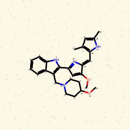 COC1=CC(c2[nH]c3ccccc3c2CN2CCC(OC)CC2)=N/C1=C\c1[nH]c(C)cc1C